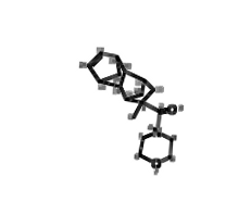 CC1(C(=O)N2CCOCC2)CC2CC1C1C3C=CC(C3)C21